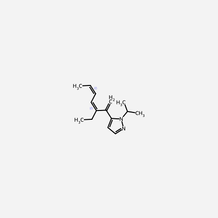 C=C(/C(=C\C=C/C)CC)c1ccnn1C(C)C